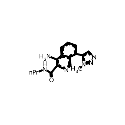 CCCNC(=O)c1ncc2c(-c3cnnn3C)cccc2c1N